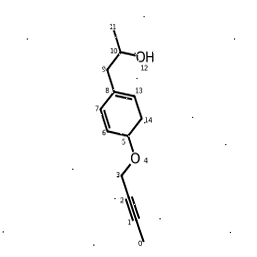 CC#CCOC1C=CC(CC(C)O)=CC1